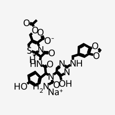 CC(=O)OCC1=C(C(=O)[O-])N2C(=O)C(NC(=O)C(c3ccc(O)cc3)N(C(N)=O)c3cnc(NCc4ccc5c(c4)OCO5)nc3O)[C@@H]2SC1.[Na+]